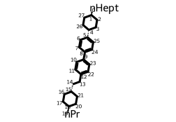 CCCCCCC[C@H]1CC[C@H](c2ccc(-c3ccc(CC[C@H]4CC[C@H](CCC)CC4)cc3)cc2)CC1